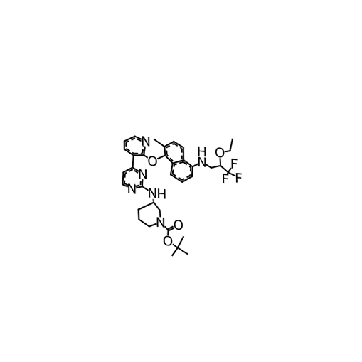 CCOC(CNc1cccc2c(Oc3ncccc3-c3ccnc(N[C@H]4CCCN(C(=O)OC(C)(C)C)C4)n3)c(C)ccc12)C(F)(F)F